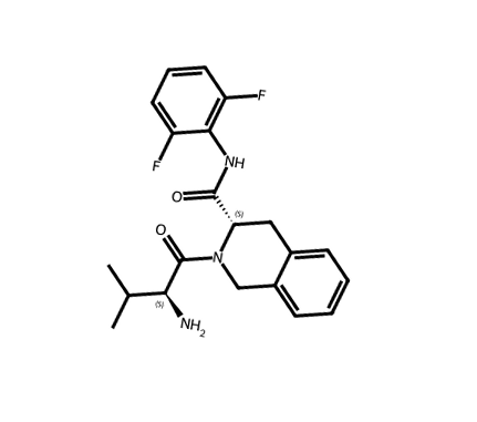 CC(C)[C@H](N)C(=O)N1Cc2ccccc2C[C@H]1C(=O)Nc1c(F)cccc1F